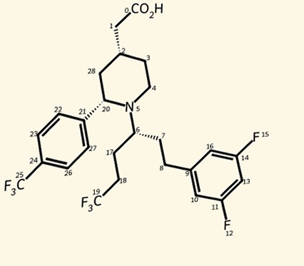 O=C(O)C[C@@H]1CCN([C@H](CCc2cc(F)cc(F)c2)CCC(F)(F)F)[C@H](c2ccc(C(F)(F)F)cc2)C1